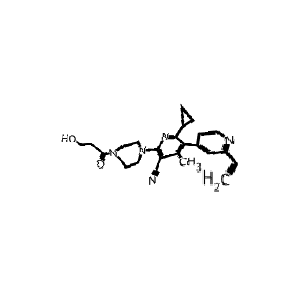 C=Cc1cc(-c2c(C3CC3)nc(N3CCN(C(=O)CCO)CC3)c(C#N)c2C)ccn1